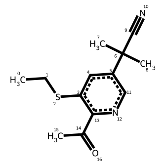 CCSc1cc(C(C)(C)C#N)cnc1C(C)=O